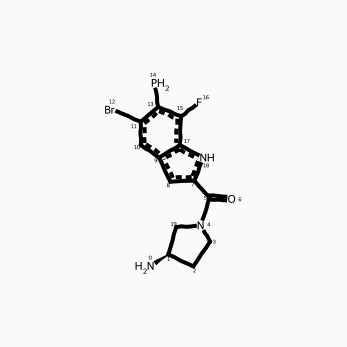 N[C@@H]1CCN(C(=O)c2cc3cc(Br)c(P)c(F)c3[nH]2)C1